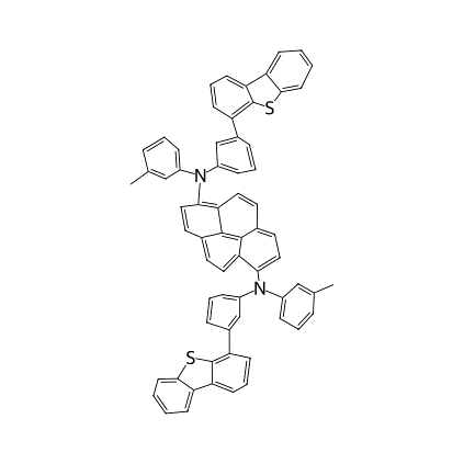 Cc1cccc(N(c2cccc(-c3cccc4c3sc3ccccc34)c2)c2ccc3ccc4c(N(c5cccc(C)c5)c5cccc(-c6cccc7c6sc6ccccc67)c5)ccc5ccc2c3c54)c1